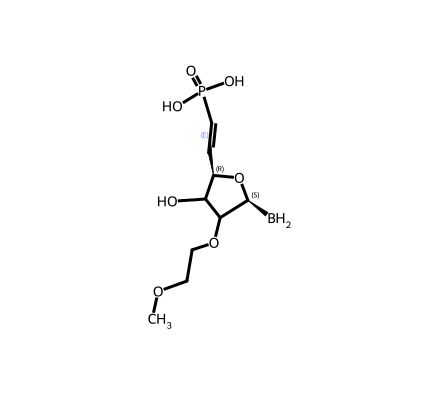 B[C@@H]1O[C@H](/C=C/P(=O)(O)O)C(O)C1OCCOC